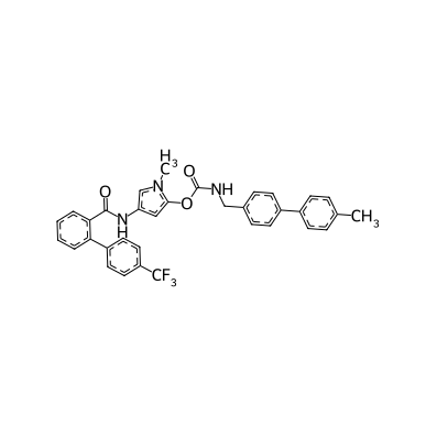 Cc1ccc(-c2ccc(CNC(=O)Oc3cc(NC(=O)c4ccccc4-c4ccc(C(F)(F)F)cc4)cn3C)cc2)cc1